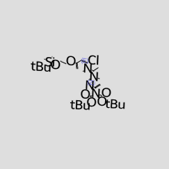 C=C(/C=C(/Cl)N(C)C(C)N(C)/C=N\C(=C)N(C(=O)OC(C)(C)C)C(=O)OC(C)(C)C)OCCO[Si](C)(C)C(C)(C)C